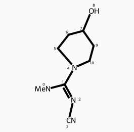 CNC(=NC#N)N1CCC(O)CC1